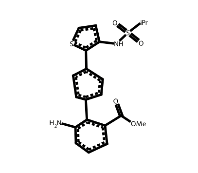 COC(=O)c1cccc(N)c1-c1ccc(-c2sccc2NS(=O)(=O)C(C)C)cc1